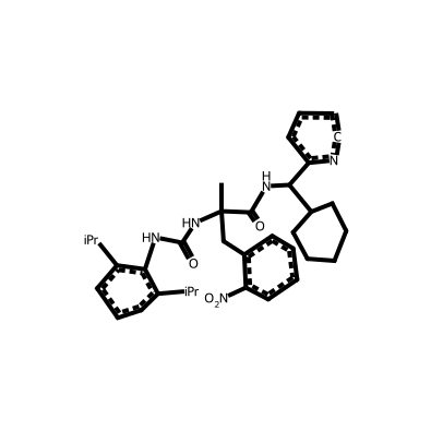 CC(C)c1cccc(C(C)C)c1NC(=O)NC(C)(Cc1ccccc1[N+](=O)[O-])C(=O)NC(c1ccccn1)C1CCCCC1